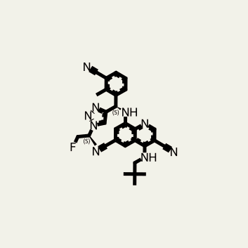 Cc1c(C#N)cccc1[C@H](Nc1cc(C#N)cc2c(NCC(C)(C)C)c(C#N)cnc12)c1cn([C@@H](C)CF)nn1